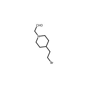 O=CCN1CCC(CCBr)CC1